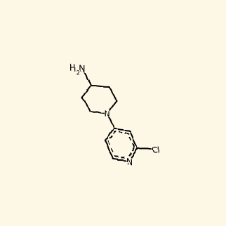 NC1CCN(c2ccnc(Cl)c2)CC1